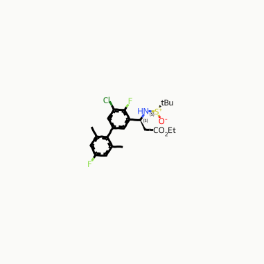 CCOC(=O)C[C@H](N[S@+]([O-])C(C)(C)C)c1cc(-c2c(C)cc(F)cc2C)cc(Cl)c1F